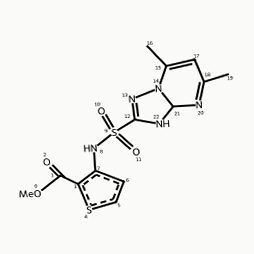 COC(=O)c1sccc1NS(=O)(=O)C1=NN2C(C)=CC(C)=NC2N1